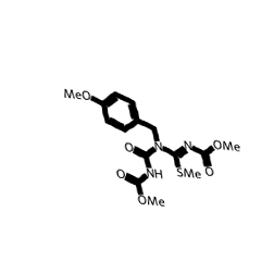 COC(=O)N=C(SC)N(Cc1ccc(OC)cc1)C(=O)NC(=O)OC